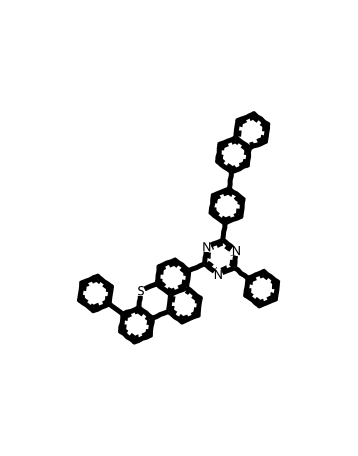 c1ccc(-c2nc(-c3ccc(-c4ccc5ccccc5c4)cc3)nc(-c3ccc4c5c(cccc35)-c3cccc(-c5ccccc5)c3S4)n2)cc1